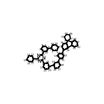 c1ccc(-c2cccc(-c3nc(-c4ccccc4)nc(-c4cccc(-c5cccc(-c6ccc(-c7ccc8c(c7)-c7ccccc7C87CCCCC7)cc6)c5)c4)n3)c2)cc1